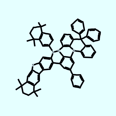 CC1(C)CCC(C)(C)c2cc(N3B4c5cccc6c5N(c5ccccc5C6(c5ccccc5)c5ccccc5)c5cc(-c6ccccc6)cc(c54)-c4cc5c(cc43)sc3cc4c(cc35)C(C)(C)CCC4(C)C)ccc21